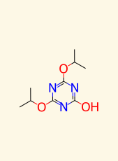 CC(C)Oc1nc(O)nc(OC(C)C)n1